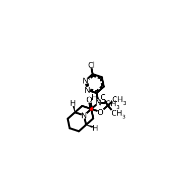 CN(c1ccc(Cl)nn1)C1C[C@H]2CCC[C@@H](C1)N2C(=O)OC(C)(C)C